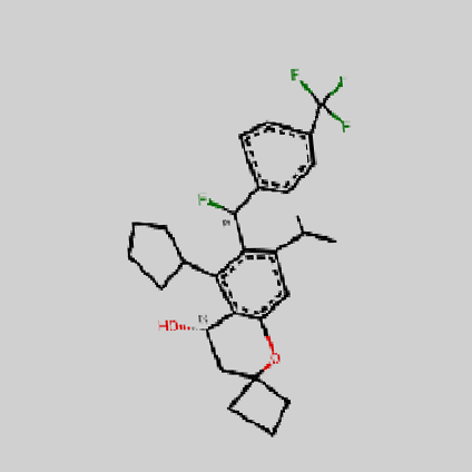 CC(C)c1cc2c(c(C3CCCC3)c1[C@@H](F)c1ccc(C(F)(F)F)cc1)[C@@H](O)CC1(CCC1)O2